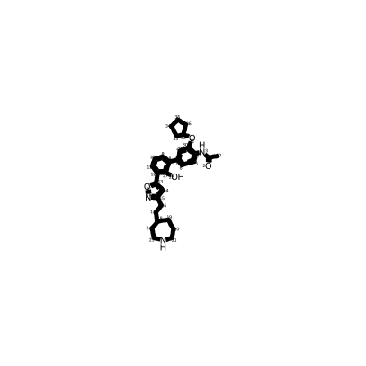 CC(=O)Nc1ccc(-c2cccc(-c3cc(CCC4CCCNCC4)no3)c2O)cc1OC1CCCC1